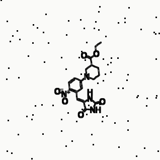 CCOC(=O)C1CCCN(c2ccc([N+](=O)[O-])c(C=C3NC(=O)NC3=O)c2)C1